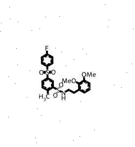 COc1cccc(CCNS(=O)(=O)c2cc(S(=O)(=O)c3ccc(F)cc3)ccc2C)c1OC